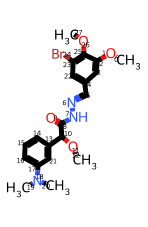 COc1cc(/C=N/NC(=O)C(OC)c2cccc(N(C)C)c2)cc(Br)c1OC